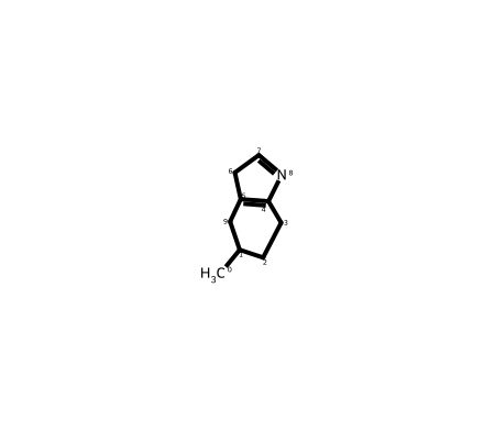 CC1CCC2=C(CC=N2)C1